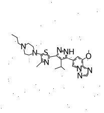 CCCN1CCN(c2sc(-c3n[nH]c(-c4cc(OC)c5ncnn5c4)c3C(C)C)nc2C)[C@H](C)C1